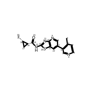 Cc1ccncc1-c1cnc2nc(NC(=O)[C@@H]3C[C@@H]3F)sc2c1